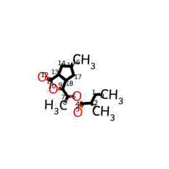 CCC(C)C(=O)OC(C)C1OC(=O)C2CC(C)CC21